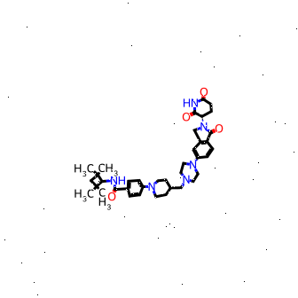 CC1(C)CC(C)(C)C1NC(=O)c1ccc(N2CCC(CN3CCN(c4ccc5c(c4)CN([C@H]4CCC(=O)NC4=O)C5=O)CC3)CC2)cc1